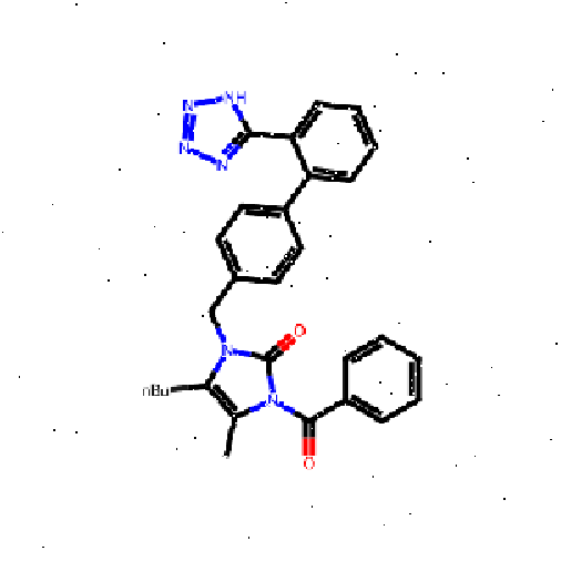 CCCCc1c(C)n(C(=O)c2ccccc2)c(=O)n1Cc1ccc(-c2ccccc2-c2nnn[nH]2)cc1